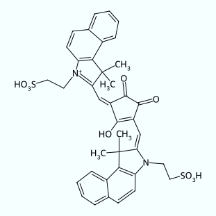 CC1(C)C(/C=C2\C(=O)C(=O)C(/C=C3/N(CCS(=O)(=O)O)c4ccc5ccccc5c4C3(C)C)=C2O)=[N+](CCS(=O)(=O)O)c2ccc3ccccc3c21